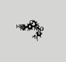 CN(C)[C@@H]1CCN(C(=O)c2nc3c(s2)CCOc2cc(-c4cn[nH]c4)ccc2-3)C1